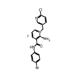 Nc1c(C(=O)Nc2ccc(Br)cc2)ccc[n+]1Cc1ccc(Cl)nc1.[I-]